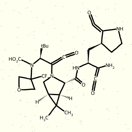 CC(C)(C)[C@@H](C(=C=O)N1C[C@H]2[C@@H]([C@H]1C(=O)N[C@@H](C[C@@H]1CCNC1=C=O)C(N)=C=O)C2(C)C)N(C(=O)O)C1(C(F)(F)F)COC1